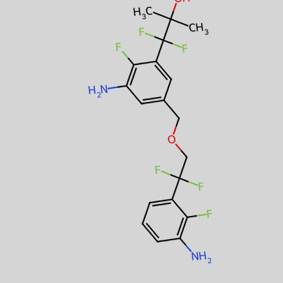 CC(C)(O)C(F)(F)c1cc(COCC(F)(F)c2cccc(N)c2F)cc(N)c1F